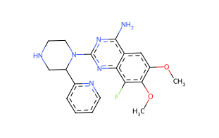 COc1cc2c(N)nc(N3CCNCC3c3ccccn3)nc2c(F)c1OC